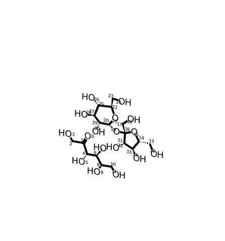 O=C(CO)[C@@H](O)[C@@H](O)[C@H](O)CO.OC[C@H]1O[C@@](CO)(O[C@H]2O[C@H](CO)[C@@H](O)[C@H](O)[C@H]2O)[C@@H](O)[C@@H]1O